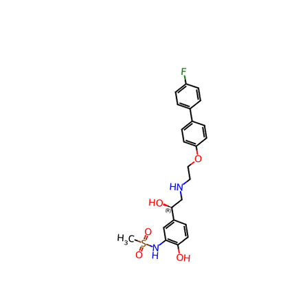 CS(=O)(=O)Nc1cc([C@@H](O)CNCCOc2ccc(-c3ccc(F)cc3)cc2)ccc1O